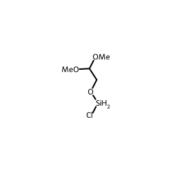 COC(CO[SiH2]Cl)OC